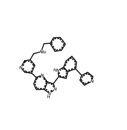 c1ccc(CNCc2cncc(-c3ccc4[nH]nc(-c5cc6c(-c7ccncc7)cccc6[nH]5)c4n3)c2)cc1